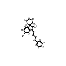 O=C(NCCCCc1ccccc1)C1(c2ccc(F)cc2)CCCCC1